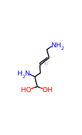 NC/C=C/CC(N)C(O)O